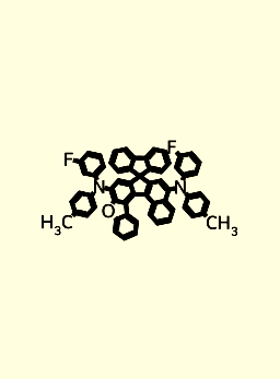 Cc1ccc(N(c2cccc(F)c2)c2cc3c(c4ccccc24)-c2c(cc(N(c4ccc(C)cc4)c4cccc(F)c4)c4oc5ccccc5c24)C32c3ccccc3-c3ccccc32)cc1